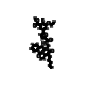 CCCCCC(C(=O)NCNC(=O)c1ccc(-c2cc(OCC)c(F)c(C(=O)OC)c2)o1)C(CC)N(C=O)OCc1ccccc1